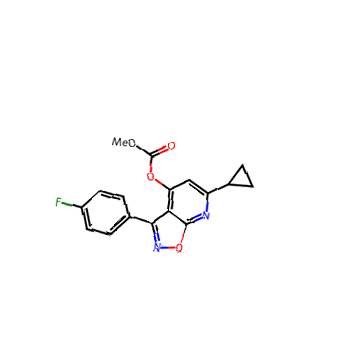 COC(=O)Oc1cc(C2CC2)nc2onc(-c3ccc(F)cc3)c12